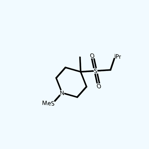 CSN1CCC(C)(S(=O)(=O)CC(C)C)CC1